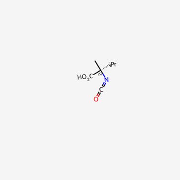 CC(C)[C@](C)(N=C=O)C(=O)O